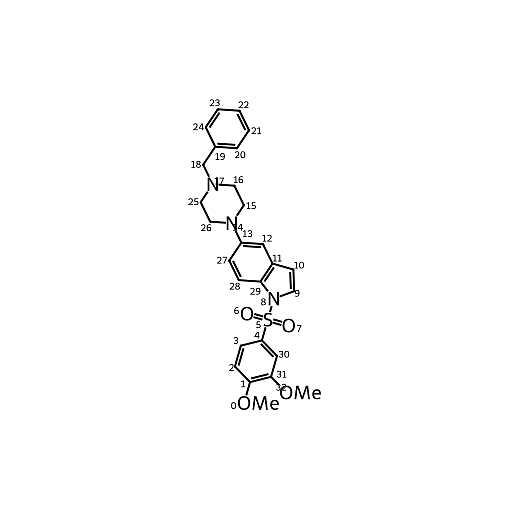 COc1ccc(S(=O)(=O)n2ccc3cc(N4CCN(Cc5ccccc5)CC4)ccc32)cc1OC